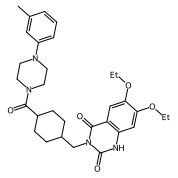 CCOc1cc2[nH]c(=O)n(CC3CCC(C(=O)N4CCN(c5cccc(C)c5)CC4)CC3)c(=O)c2cc1OCC